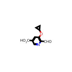 O=Cc1ncc(C(=O)O)cc1OC1CC1